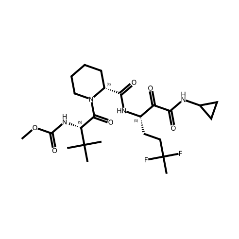 COC(=O)N[C@H](C(=O)N1CCCC[C@@H]1C(=O)N[C@@H](CCC(C)(F)F)C(=O)C(=O)NC1CC1)C(C)(C)C